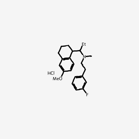 CCC(C1CCCc2cc(OC)ccc21)N(C)CCc1cccc(F)c1.Cl